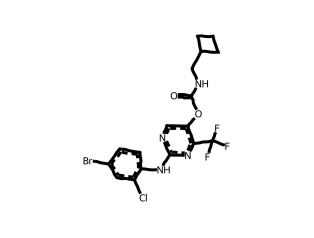 O=C(NCC1CCC1)Oc1cnc(Nc2ccc(Br)cc2Cl)nc1C(F)(F)F